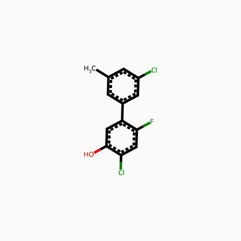 Cc1cc(Cl)cc(-c2cc(O)c(Cl)cc2F)c1